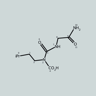 CC(C)CCN(C(=O)O)C(=O)NCC(N)=O